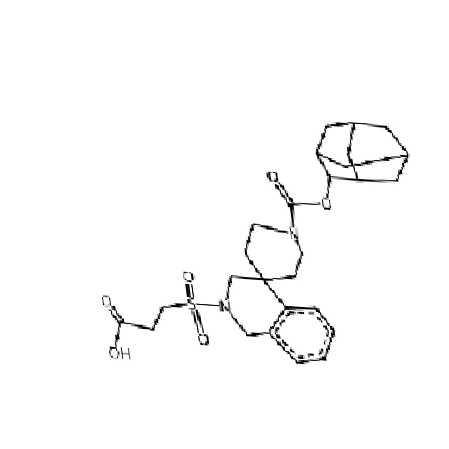 O=C(O)CCS(=O)(=O)N1Cc2ccccc2C2(CCN(C(=O)OC3C4CC5CC(C4)CC3C5)CC2)C1